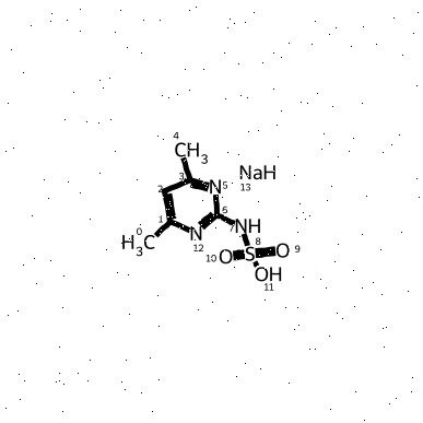 Cc1cc(C)nc(NS(=O)(=O)O)n1.[NaH]